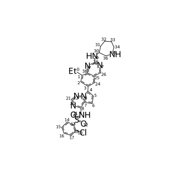 CCc1cc(-c2ccc3c(NS(=O)(=O)c4ccccc4Cl)ncnn23)cc2cnc(NC3CCCCNC3)nc12